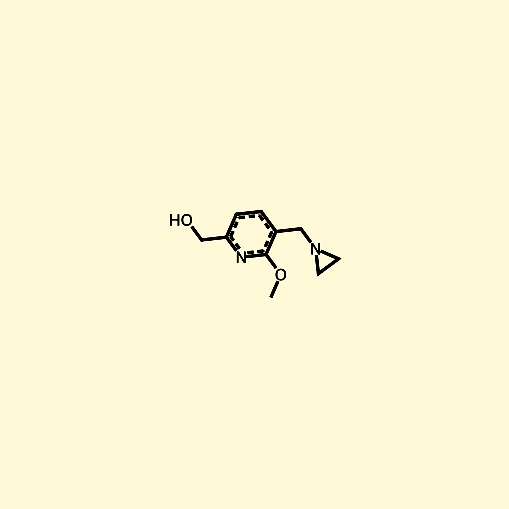 COc1nc(CO)ccc1CN1CC1